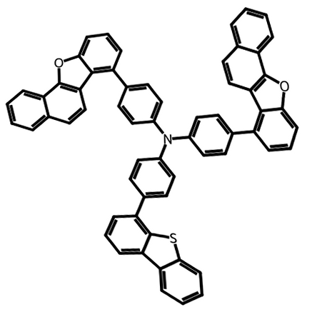 c1ccc2c(c1)ccc1c2oc2cccc(-c3ccc(N(c4ccc(-c5cccc6c5sc5ccccc56)cc4)c4ccc(-c5cccc6oc7c8ccccc8ccc7c56)cc4)cc3)c21